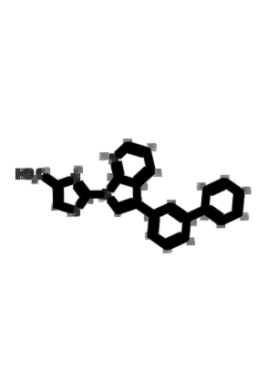 O=C(O)c1csc(-n2cc(-c3cccc(-c4ccccc4)c3)c3cccnc32)n1